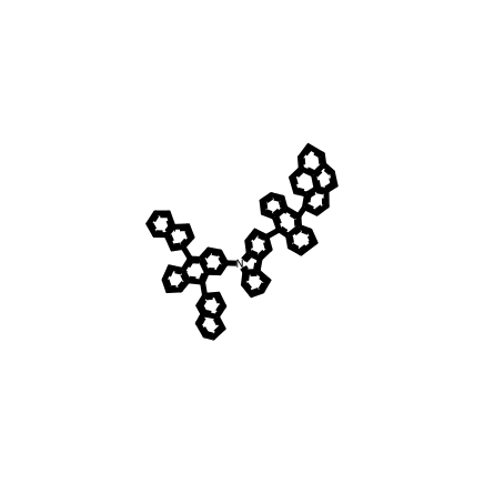 c1ccc2cc(-c3c4ccccc4c(-c4ccc5ccccc5c4)c4cc(-n5c6ccccc6c6cc(-c7c8ccccc8c(-c8ccc9ccc%10cccc%11ccc8c9c%10%11)c8ccccc78)ccc65)ccc34)ccc2c1